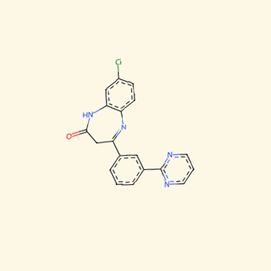 O=C1CC(c2cccc(-c3ncccn3)c2)=Nc2ccc(Cl)cc2N1